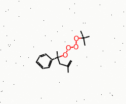 C=C(C)CC(C)(OOOOC(C)(C)C)c1ccccc1